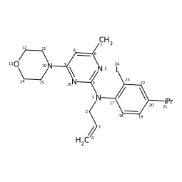 C=CCN(c1nc(C)cc(N2CCOCC2)n1)c1ccc(C(C)C)cc1I